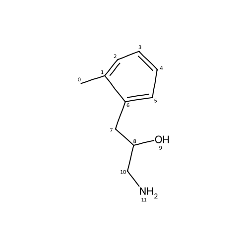 Cc1ccccc1CC(O)CN